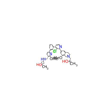 COc1cc(-c2nccc(-c3cccc(-c4ccc(CN[C@H]5C[C@@](C)(O)C5)c(OC)n4)c3Cl)c2Cl)cc2c1CN(C[C@H](C)O)CC2